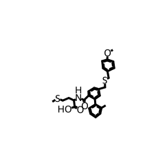 COc1ccc(CSCc2ccc(C(=O)NC(CCSC)C(=O)O)c(-c3ccccc3C)c2)cc1